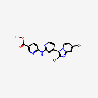 COC(=O)c1ccc(Nc2cc(-c3c(C)nc4cc(C)ccn34)ccn2)nc1